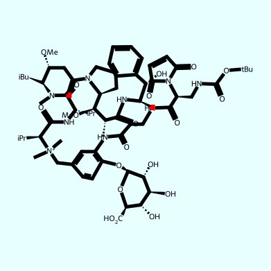 CC[C@H](C)[C@@H]([C@@H](CC(=O)N1CCC[C@H]1[C@H](OC)[C@@H](C)C(=O)N[C@H](C)[C@@H](O)c1ccccc1)OC)N(C)C(=O)[C@@H](NC(=O)[C@H](C(C)C)[N+](C)(C)Cc1ccc(O[C@@H]2O[C@H](C(=O)O)[C@@H](O)[C@H](O)[C@H]2O)c(NC(=O)CCNC(=O)[C@H](CNC(=O)OC(C)(C)C)N2C(=O)C=CC2=O)c1)C(C)C